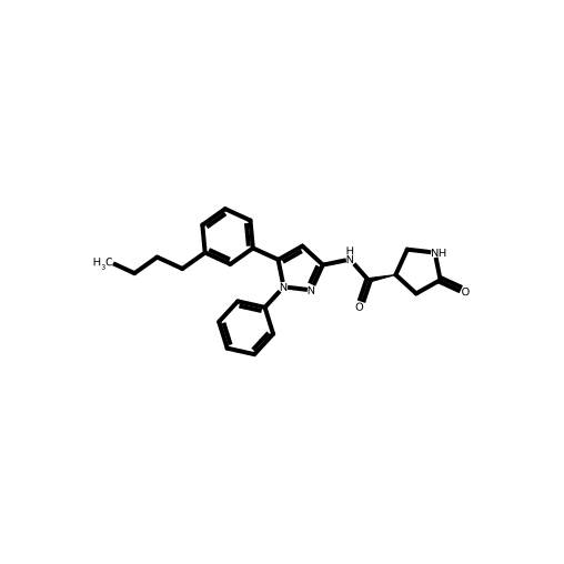 CCCCc1cccc(-c2cc(NC(=O)[C@H]3CNC(=O)C3)nn2-c2ccccc2)c1